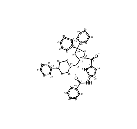 O=C(Nc1nc(C(=O)NCC(CCCN2CCC(c3ccccc3)CC2)(c2ccccc2)c2ccccc2)cs1)c1ccccc1